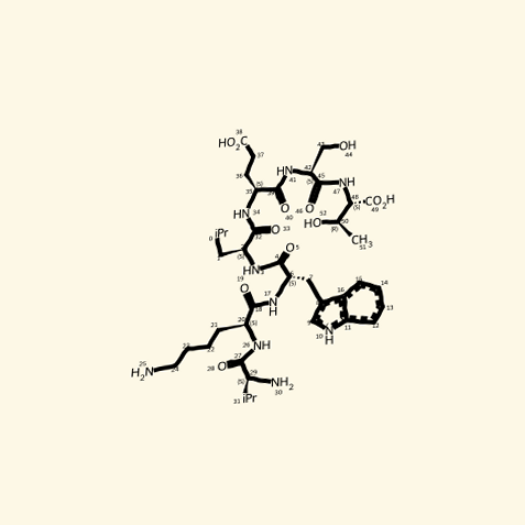 CC(C)C[C@H](NC(=O)[C@H](Cc1c[nH]c2ccccc12)NC(=O)[C@H](CCCCN)NC(=O)[C@@H](N)C(C)C)C(=O)N[C@@H](CCC(=O)O)C(=O)N[C@@H](CO)C(=O)N[C@H](C(=O)O)[C@@H](C)O